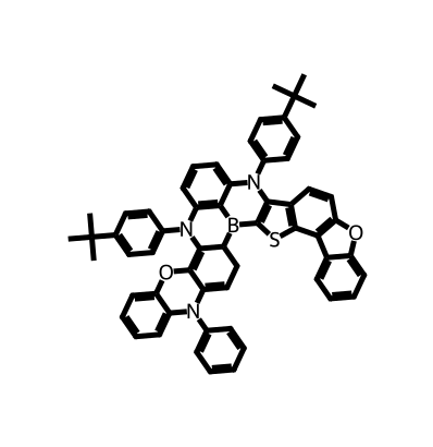 CC(C)(C)c1ccc(N2C3=C4Oc5ccccc5N(c5ccccc5)C4=CCC3B3c4sc5c(ccc6oc7ccccc7c65)c4N(c4ccc(C(C)(C)C)cc4)c4cccc2c43)cc1